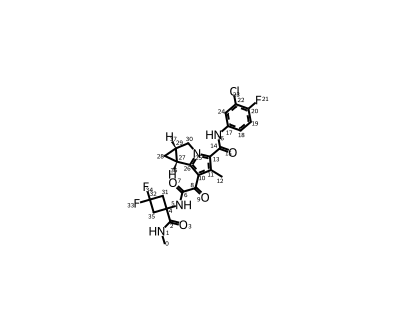 CNC(=O)C1(NC(=O)C(=O)c2c(C)c(C(=O)Nc3ccc(F)c(Cl)c3)n3c2[C@@H]2C[C@@H]2C3)CC(F)(F)C1